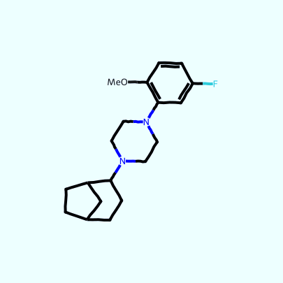 COc1ccc(F)cc1N1CCN(C2CCC3CCC2C3)CC1